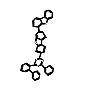 c1ccc(-c2nc(-c3ccc4c(c3)oc3cc(-c5cccc6c5sc5ccccc56)ccc34)nc(-c3ccccc3-c3ccccc3)n2)cc1